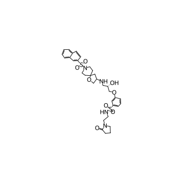 O=C1CCCN1CCNS(=O)(=O)c1cccc(OC[C@@H](O)CNC2COC3(CCN(S(=O)(=O)c4ccc5ccccc5c4)CC3)C2)c1